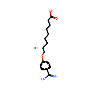 Cl.N=C(N)c1ccc(OCCCCCCCCC(=O)O)cc1